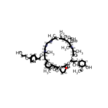 CO[C@@H]1C[C@H](C[C@@H](C)[C@@H]2CC(=O)[C@H](C)/C=C(\C)[C@@H](O)[C@@H](OC)C(=O)[C@H](C)C[C@H](C)/C=C/C=C/C=C(\C)[C@@H](OCc3ccc(OCCO)cn3)C[C@@H]3CC[C@@H](C)[C@@](O)(O3)C(=O)C(=O)N3CCCC[C@H]3C(=O)O2)CC[C@H]1O